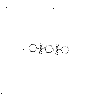 O=S(=O)(C1CCCCC1)N1CCN(S(=O)(=O)C2CCCCC2)CC1